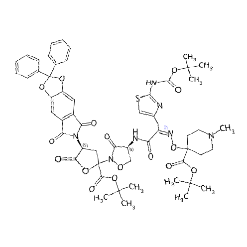 CN1CCC(O/N=C(\C(=O)N[C@H]2CON(C3(C(=O)OC(C)(C)C)C[C@H](N4C(=O)c5cc6c(cc5C4=O)OC(c4ccccc4)(c4ccccc4)O6)C(=O)O3)C2=O)c2csc(NC(=O)OC(C)(C)C)n2)(C(=O)OC(C)(C)C)CC1